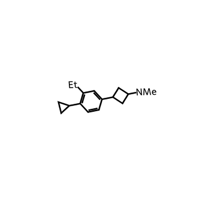 CCc1cc(C2CC(NC)C2)ccc1C1CC1